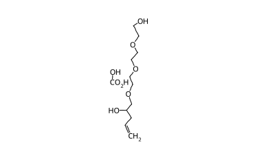 C=CCC(O)COCCOCCOCCO.O=C(O)O